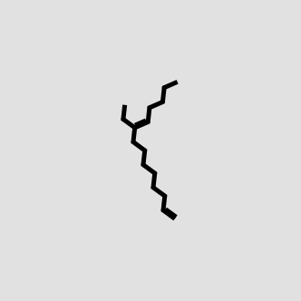 C=CCCCCCCC(=CCCCC)CC